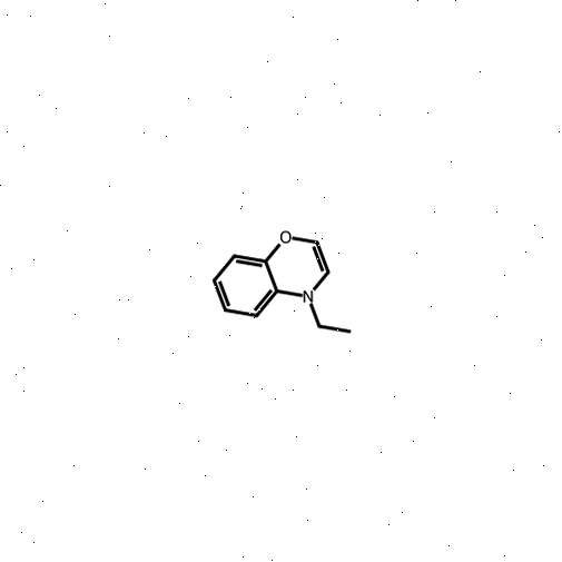 CCN1C=COc2ccccc21